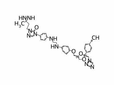 C#Cc1ccc([C@]2(Cn3cncn3)OC[C@@H](COc3ccc(NCCNc4ccc(-n5cnn(CCC6(C)NN6)c5=O)cc4)cc3)O2)cc1